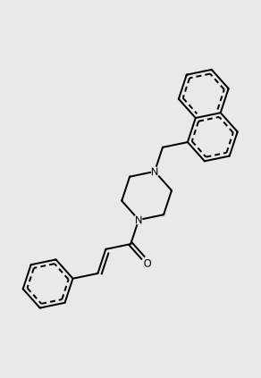 O=C(C=Cc1ccccc1)N1CCN(Cc2cccc3ccccc23)CC1